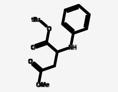 COC(=O)CC(Nc1ccccc1)C(=O)OC(C)(C)C